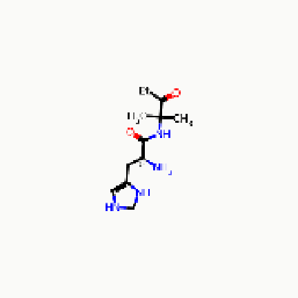 CCC(=O)C(C)(C)NC(=O)[C@@H](N)CC1=CNCN1